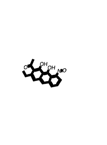 CCc1cc2cc3cccc(N=O)c3c(O)c2c(O)c1C(C)=O